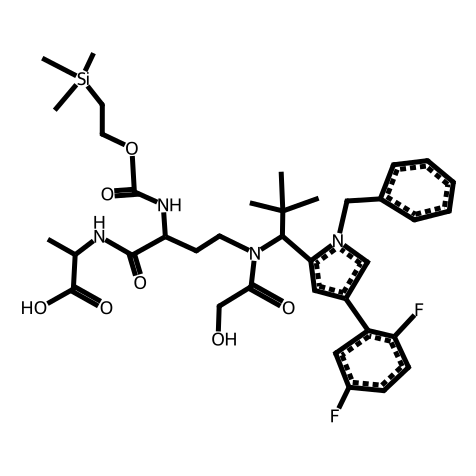 CC(NC(=O)C(CCN(C(=O)CO)C(c1cc(-c2cc(F)ccc2F)cn1Cc1ccccc1)C(C)(C)C)NC(=O)OCC[Si](C)(C)C)C(=O)O